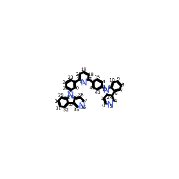 C1=CC2C(C=N1)c1ccccc1N2c1ccc(-c2cccc(-c3cccc(-n4c5ccccc5c5cnccc54)c3)n2)cc1